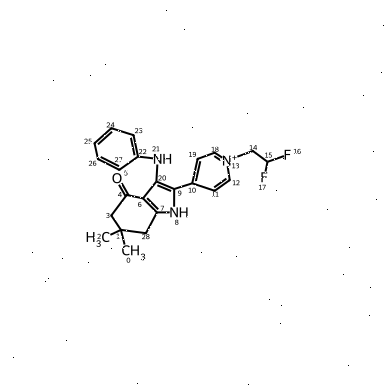 CC1(C)CC(=O)c2c([nH]c(-c3cc[n+](CC(F)F)cc3)c2Nc2ccccc2)C1